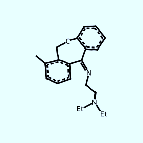 CCN(CC)CCN=C1c2ccccc2CCc2c(C)cccc21